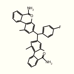 Cc1cc(C(c2ccc(F)cc2)c2cc(C)c(-c3ccccc3C(N)=O)c(C)c2)cc(C)c1-c1ccccc1C(N)=O